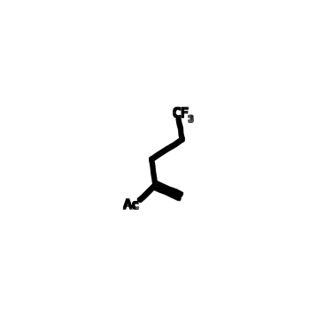 C=C(CCC(F)(F)F)C(C)=O